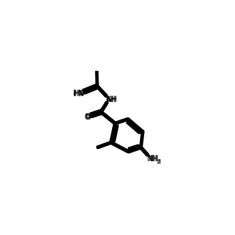 CC(=N)NC(=O)c1ccc(N)cc1C